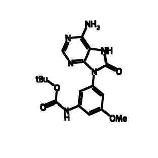 COc1cc(NC(=O)OC(C)(C)C)cc(-n2c(=O)[nH]c3c(N)ncnc32)c1